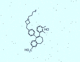 Cc1cccc(C2=C(c3ccc(CC4CN(CCCF)C4)cc3)c3ccc(C(=O)O)cc3CCC2)c1C.Cl